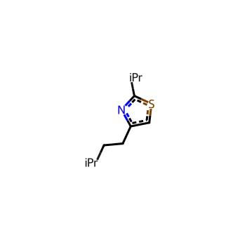 CC(C)CCc1csc(C(C)C)n1